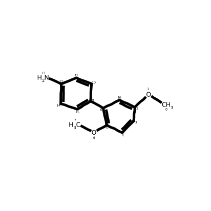 COc1ccc(OC)c(-c2ccc(N)cc2)c1